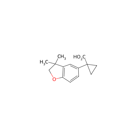 CC1(C)COc2ccc(C3(C(=O)O)CC3)cc21